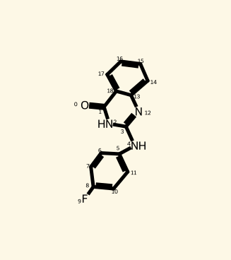 O=c1[nH]c(Nc2ccc(F)cc2)nc2ccccc12